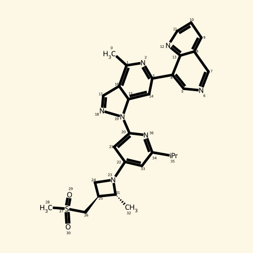 Cc1nc(-c2cncc3cccnc23)cc2c1cnn2-c1cc(N2C[C@H](CS(C)(=O)=O)[C@H]2C)cc(C(C)C)n1